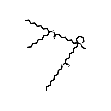 CCCCCCCCCOC(=O)CCCCCCC1(CCCCCCC(=O)OC(CCCCCCCC)CCCCCCCC)CCCCN1CC